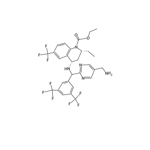 CCOC(=O)N1c2ccc(C(F)(F)F)cc2[C@@H](NC(c2cc(C(F)(F)F)cc(C(F)(F)F)c2)c2ncc(CN)cn2)C[C@H]1CC